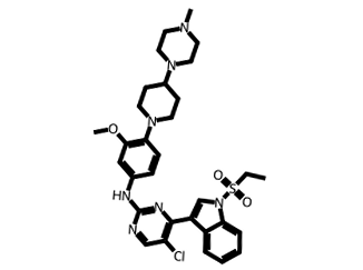 CCS(=O)(=O)n1cc(-c2nc(Nc3ccc(N4CCC(N5CCN(C)CC5)CC4)c(OC)c3)ncc2Cl)c2ccccc21